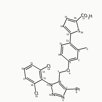 Cc1cc(OCc2c(C(C)C)nnn2-c2c(Cl)cccc2Cl)ccc1-c1ccc(C(=O)O)s1